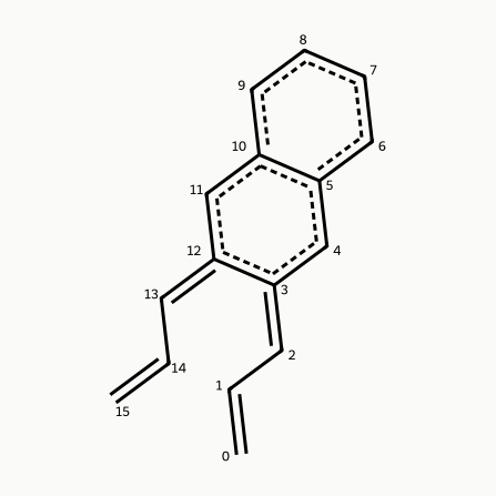 C=C/C=c1/cc2ccccc2c/c1=C/C=C